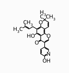 CC(C)=CCc1c2c(c3occ(-c4ccc(O)nc4)c(=O)c3c1O)C=CC(C)(C)O2